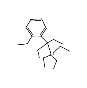 CCc1ccccc1C(CC)(CC)[N+](CC)(CC)CC